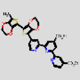 CCOC(=O)c1ccnc(-c2cc(C(=O)OCC)cc(-c3cc(-c4sc(-c5sc(C)c6c5OCCO6)c5c4OCCO5)ccn3)n2)c1